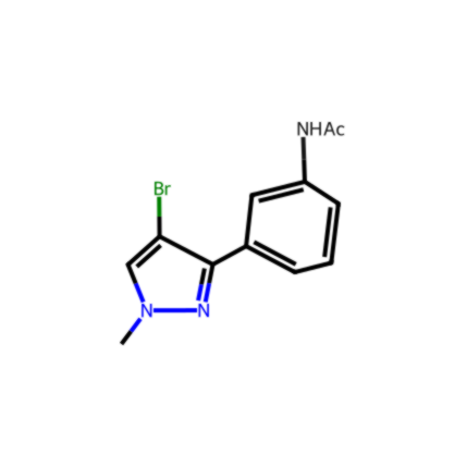 CC(=O)Nc1cccc(-c2nn(C)cc2Br)c1